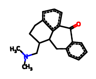 CN(C)CC1CCc2cccc3c2C1Cc1ccccc1C3=O